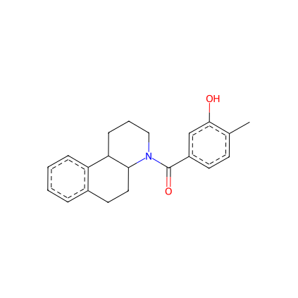 Cc1ccc(C(=O)N2CCCC3c4ccccc4CCC32)cc1O